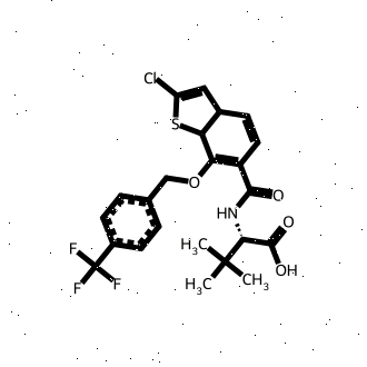 CC(C)(C)[C@H](NC(=O)C1=C(OCc2ccc(C(F)(F)F)cc2)C2SC(Cl)=CC2C=C1)C(=O)O